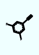 [C]#Cc1cc(F)cc(F)c1